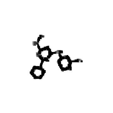 CC(C)Nc1cc(Nc2ccnc(C#N)c2)nc(-c2ccccc2)n1